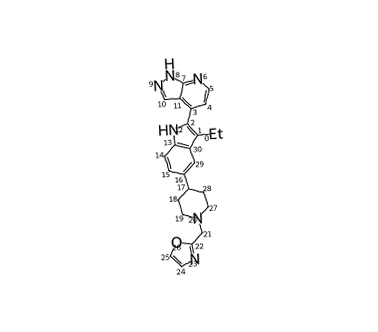 CCc1c(-c2ccnc3[nH]ncc23)[nH]c2ccc(C3CCN(Cc4ncco4)CC3)cc12